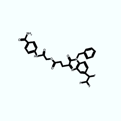 NC(=O)c1ccc(NC(=O)COC(=O)CCc2nc3cc(C(F)C(F)F)ccc3n(Cc3ccccc3)c2=O)cc1